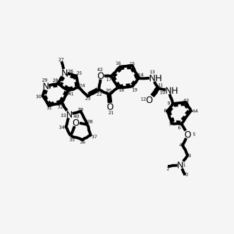 CN(C)CCOc1ccc(NC(=O)Nc2ccc3c(c2)C(=O)/C(=C/c2cn(C)c4nccc(N5CC6CCC(C5)O6)c24)O3)cc1